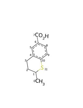 CC1CCc2cc(C(=O)O)ccc2S1